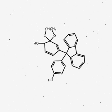 COC1(OC)C=C(C2(c3ccc(O)cc3)c3ccccc3-c3ccccc32)C=CC1O